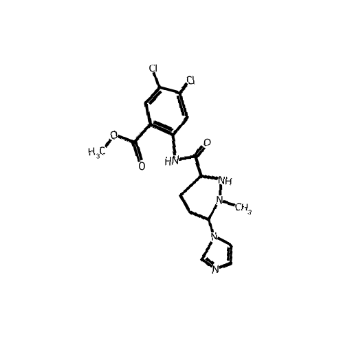 COC(=O)c1cc(Cl)c(Cl)cc1NC(=O)C1CCC(n2ccnc2)N(C)N1